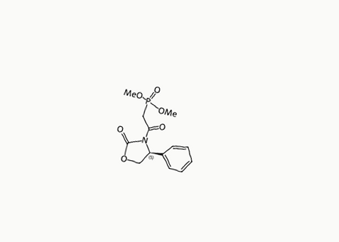 COP(=O)(CC(=O)N1C(=O)OC[C@@H]1c1ccccc1)OC